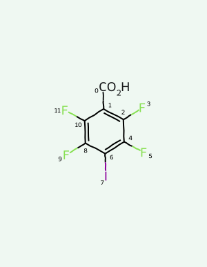 O=C(O)c1c(F)c(F)c(I)c(F)c1F